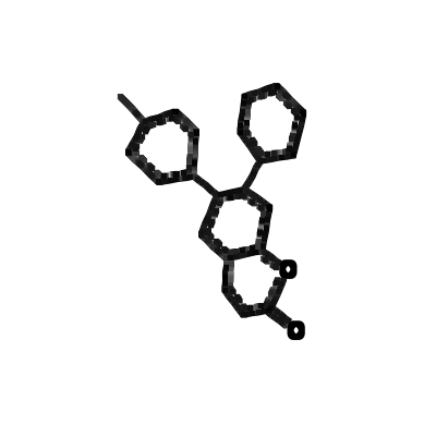 Cc1ccc(-c2cc3ccc(=O)oc3cc2-c2ccccc2)cc1